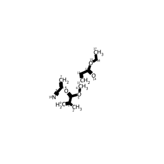 C=C(C)C(=O)OC.C=CC#N.C=CC(=O)OCC